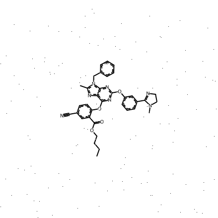 CCCCOC(=O)c1cc(C#N)ccc1Oc1nc(Oc2cccc(C3=NCCN3C)c2)nc2c1nc(C)n2Cc1ccccc1